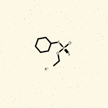 CCOP([O-])(=S)SC1CCCCC1.[K+]